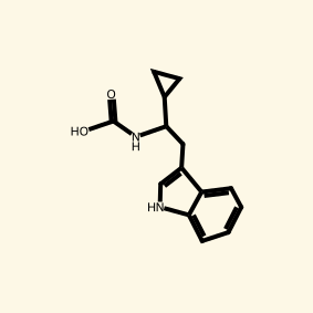 O=C(O)NC(Cc1c[nH]c2ccccc12)C1CC1